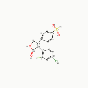 CS(=O)(=O)c1ccc(C2=C(c3ccc(Cl)cc3F)C(=O)OC2)cc1